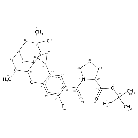 CC1CC2CC(CC(C)(Cl)C2)C1Oc1cc(F)c(C(=O)N2CCCC2C(=O)OC(C)(C)C)cc1C1CC1